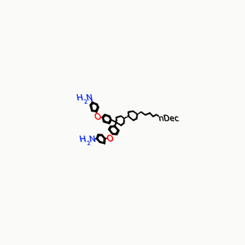 CCCCCCCCCCCCCCC[C@H]1CC[C@@H](C2CCC(c3ccc(Oc4ccc(N)cc4)cc3)(c3ccc(Oc4ccc(N)cc4)cc3)CC2)CC1